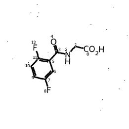 O=C(O)CNC(=O)c1cc(F)ccc1F